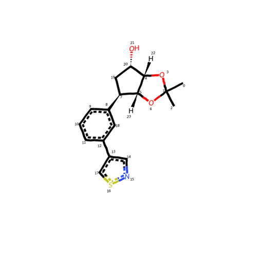 CC1(C)O[C@@H]2[C@H](O1)[C@@H](c1cccc(-c3cnsc3)c1)C[C@@H]2O